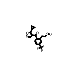 O=[S+]CCc1cc(C(F)(F)F)ccc1C(=O)c1cnoc1C1CC1